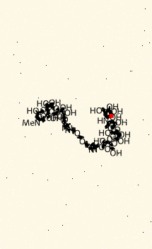 CN[C@@H]1C[C@@H](O)C(OC2C(CO)OC(OC3C(CO)OC(OCc4cn(CCOCCOCCn5cc(COC6OC(CO)C(OC7OC(CO)C(OC8OC(C)[C@@H](N[C@H]9C=C(CO)[C@@H](O)[C@H](O)[C@@H]9O)C[C@@H]8O)C(O)C7O)C(O)C6O)nn5)nn4)C(O)C3O)C(O)C2O)OC1C